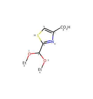 CCOC(OCC)c1nc(C(=O)O)cs1